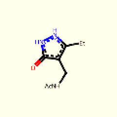 CCc1[nH][nH]c(=O)c1CNC(C)=O